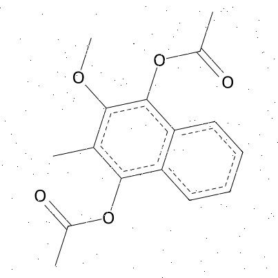 COc1c(C)c(OC(C)=O)c2ccccc2c1OC(C)=O